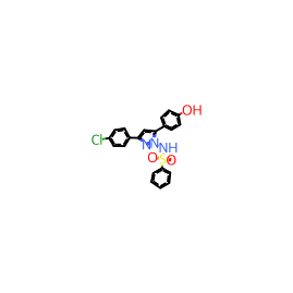 O=S(=O)(Nn1nc(-c2ccc(Cl)cc2)cc1-c1ccc(O)cc1)c1ccccc1